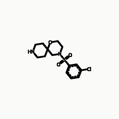 O=S(=O)(c1cccc(Cl)c1)N1CCOC2(CCNCC2)C1